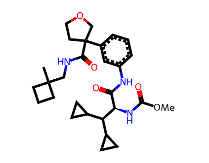 COC(=O)N[C@H](C(=O)Nc1cccc(C2(C(=O)NCC3(C)CCC3)CCOC2)c1)C(C1CC1)C1CC1